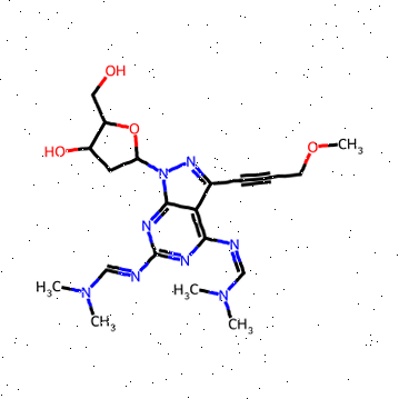 COCC#Cc1nn(C2CC(O)C(CO)O2)c2nc(/N=C/N(C)C)nc(/N=C\N(C)C)c12